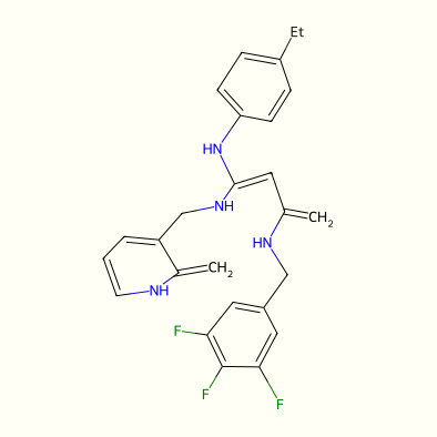 C=C(/C=C(\NCC1=CC=CNC1=C)Nc1ccc(CC)cc1)NCc1cc(F)c(F)c(F)c1